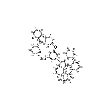 CC(C)(C)c1cc(Oc2ccc3c4ccccc4n(-c4ccccn4)c3c2)cc(-n2c[n+](-c3c(-c4ccccc4)cccc3-c3ccccc3)c3c4ccccc4ccc32)c1